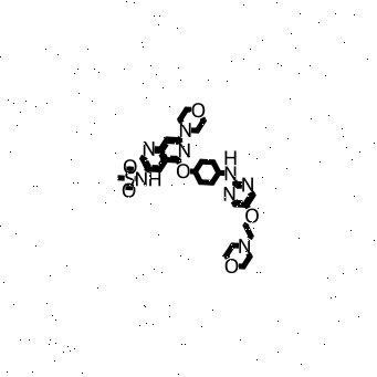 CS(=O)(=O)Nc1cnc2cc(N3CCOCC3)nc(OC3CCC(Nc4ncc(OCCN5CCOCC5)cn4)CC3)c2c1